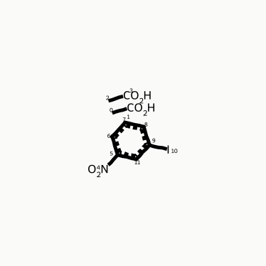 CC(=O)O.CC(=O)O.O=[N+]([O-])c1cccc(I)c1